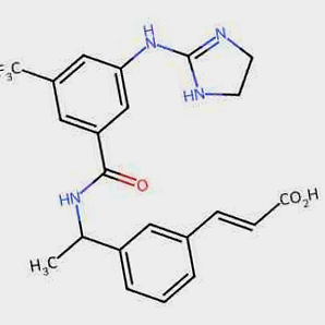 CC(NC(=O)c1cc(NC2=NCCN2)cc(C(F)(F)F)c1)c1cccc(C=CC(=O)O)c1